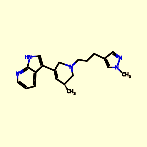 C[C@@H]1C=C(c2c[nH]c3ncccc23)CN(CCCc2cnn(C)c2)C1